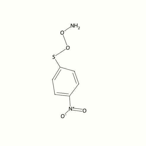 NOOSc1ccc([N+](=O)[O-])cc1